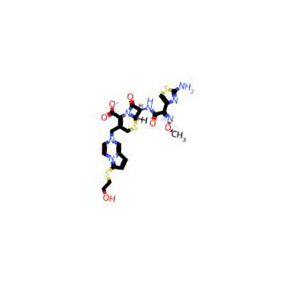 CO/N=C(\C(=O)N[C@@H]1C(=O)N2C(C(=O)[O-])=C(Cn3cc[n+]4c(SCCO)ccc-4c3)CS[C@H]12)c1csc(N)n1